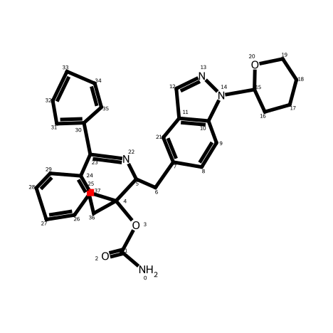 NC(=O)OC1(C(Cc2ccc3c(cnn3C3CCCCO3)c2)N=C(c2ccccc2)c2ccccc2)CC1